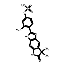 COc1cc(OS(=O)(=O)C(F)(F)F)ccc1-c1nc2cc3c(cc2[nH]1)NC(=O)C3(C)C